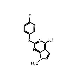 Cn1ccc2c(Cl)nc(Sc3ccc(F)cc3)nc21